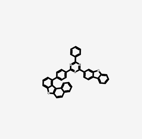 c1ccc(-c2nc(-c3ccc(-c4cccc5oc6ccc7ccccc7c6c45)cc3)nc(-c3ccc4c(c3)oc3ccccc34)n2)cc1